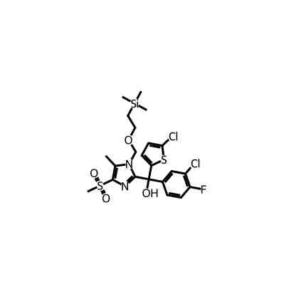 Cc1c(S(C)(=O)=O)nc(C(O)(c2ccc(F)c(Cl)c2)c2ccc(Cl)s2)n1COCC[Si](C)(C)C